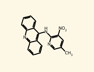 Cc1cnc(Nc2c3ccccc3nc3ccccc23)c([N+](=O)[O-])c1